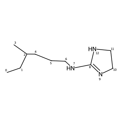 CCC(C)CCCNC1=NCCN1